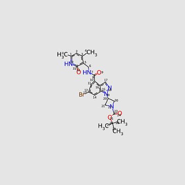 Cc1cc(C)c(CNC(=O)c2cc(Br)cc3c2cnn3C2CN(C(=O)OC(C)(C)C)C2)c(=O)[nH]1